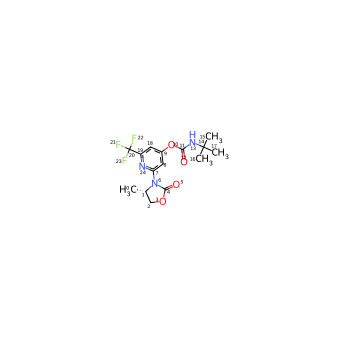 C[C@H]1COC(=O)N1c1cc(OC(=O)NC(C)(C)C)cc(C(F)(F)F)n1